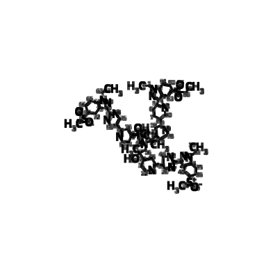 CCn1nc(-c2ccc(-c3cc(C(C)(C)N(CC(C)(O)c4ccnc(-c5cnc(-c6nn(CC)c7ccc([S+](C)[O-])cc67)nc5)c4)CC(C)(O)c4ccnc(-c5cnc(-c6nn(CC)c7ccc(S(C)(=O)=O)cc67)nc5)c4)ccn3)cn2)c2cc(S(=O)(=O)CC)ccc21